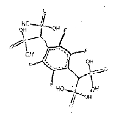 O=P(O)(O)C(c1c(F)c(F)c(C(P(=O)(O)O)P(=O)(O)O)c(F)c1F)P(=O)(O)O